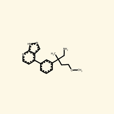 COCCC(C)(CN)c1cccc(-c2ccnc3[nH]ncc23)c1